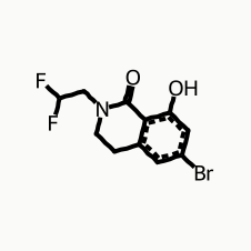 O=C1c2c(O)cc(Br)cc2CCN1CC(F)F